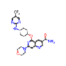 NC(=O)c1cnc2cc(N3CCOCC3)nc(OC3CCC(Nc4ncc(C(F)(F)F)cn4)CC3)c2c1